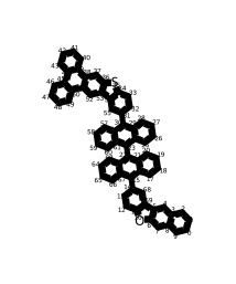 c1ccc2cc3c(cc2c1)oc1ccc(-c2c4ccccc4c(-c4c5ccccc5c(-c5ccc6sc7cc8c9ccccc9c9ccccc9c8cc7c6c5)c5ccccc45)c4ccccc24)cc13